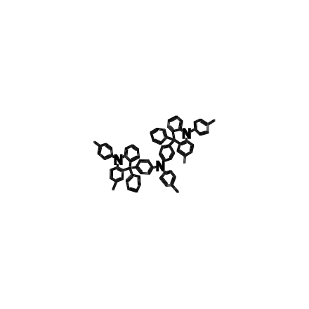 Cc1ccc(N(c2ccc(C3(c4ccccc4)c4ccccc4N(c4ccc(C)cc4)c4ccc(C)cc43)cc2)c2ccc(C3(c4ccccc4)c4ccccc4N(c4ccc(C)cc4)c4ccc(C)cc43)cc2)cc1